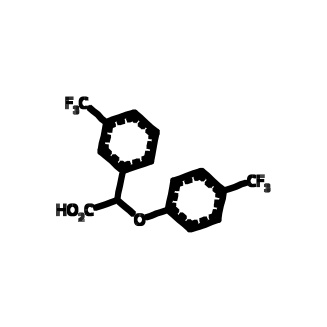 O=C(O)C(Oc1ccc(C(F)(F)F)cc1)c1cccc(C(F)(F)F)c1